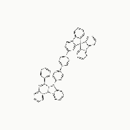 c1ccc(-c2nc3ccccc3c3c4ccccc4n(-c4ccc(-c5ccc(-c6ccc7c(c6)C6(c8ccccc8-c8ccccc86)c6ccccc6-7)cc5)cc4)c23)cc1